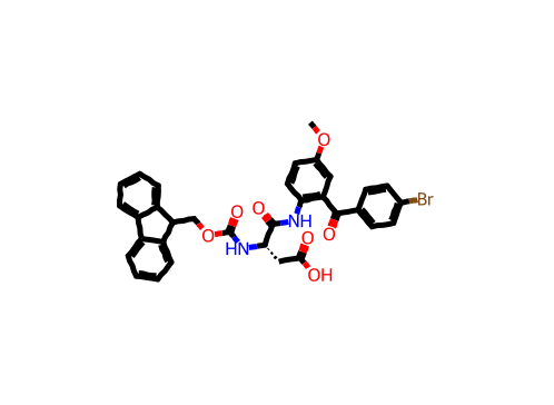 COc1ccc(NC(=O)[C@H](CC(=O)O)NC(=O)OCC2c3ccccc3-c3ccccc32)c(C(=O)c2ccc(Br)cc2)c1